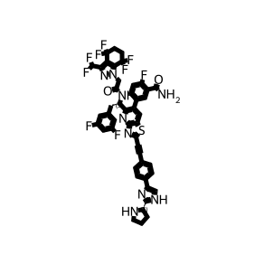 NC(=O)c1cc(-c2cc3sc(C#Cc4ccc(-c5c[nH]c([C@@H]6CCCN6)n5)cc4)nc3nc2[C@H](Cc2cc(F)cc(F)c2)NC(=O)Cn2nc(C(F)F)c3c2C(F)(F)CCC3(F)F)ccc1F